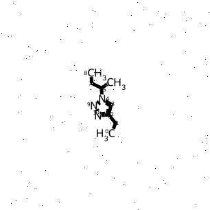 CCc1cn(C(C)CC)nn1